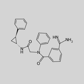 N=C(N)c1cccc(C(=O)N(CC(=O)N[C@@H]2C[C@H]2c2ccccc2)c2ccccc2)c1